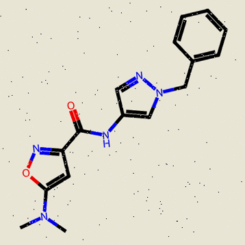 CN(C)c1cc(C(=O)Nc2cnn(Cc3ccccc3)c2)no1